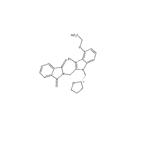 CC[n+]1c(CN2C(=O)c3ccccc3C2=O)n(C[C@@H]2CCCO2)c2cccc(OCC(=O)O)c21